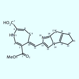 COC(=O)C1=CNC(C(=O)O)=CS/C1=C\c1cn2c3c(sc2n1)CCC3